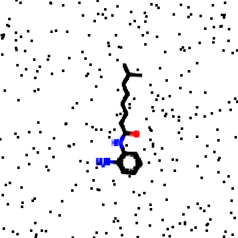 CC(C)CCCCCC(=O)Nc1ccccc1N